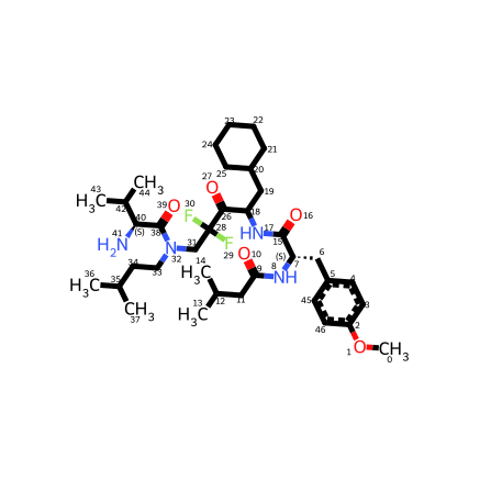 COc1ccc(C[C@H](NC(=O)CC(C)C)C(=O)NC(CC2CCCCC2)C(=O)C(F)(F)CN(CCC(C)C)C(=O)[C@@H](N)C(C)C)cc1